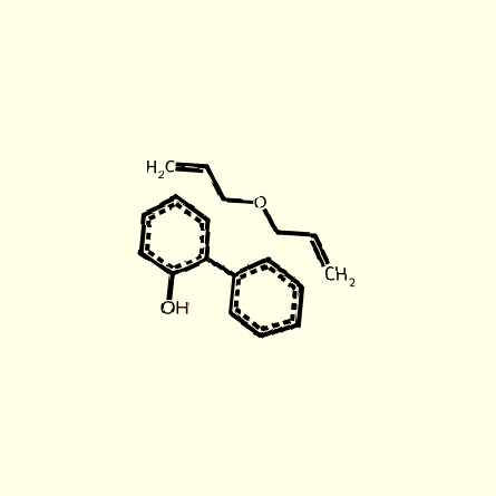 C=CCOCC=C.Oc1ccccc1-c1ccccc1